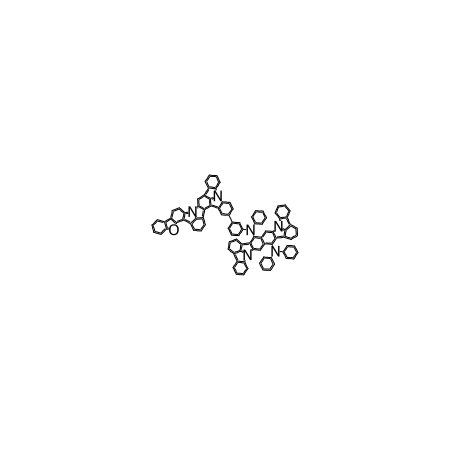 c1ccc(N(c2ccccc2)c2c3cc4c(c(N(c5ccccc5)c5cccc(-c6ccc7c(c6)c6c8c9cccc%10c%11c%12oc%13ccccc%13c%12ccc%11n(c8cc8c%11ccccc%11n7c86)c%109)c5)c3cc3c2c2cccc5c6ccccc6n3c52)c2cccc3c5ccccc5n4c32)cc1